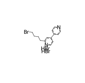 Br.Br.BrCCCCc1cc(-c2ccncc2)ccn1